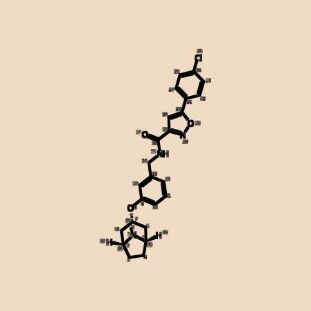 CN1[C@@H]2CC[C@H]1C[C@@H](Oc1cccc(CNC(=O)c3cc(-c4ccc(Cl)cc4)on3)c1)C2